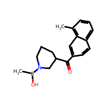 CB(O)N1CCCC(C(=O)c2ccc3cccc(C)c3c2)C1